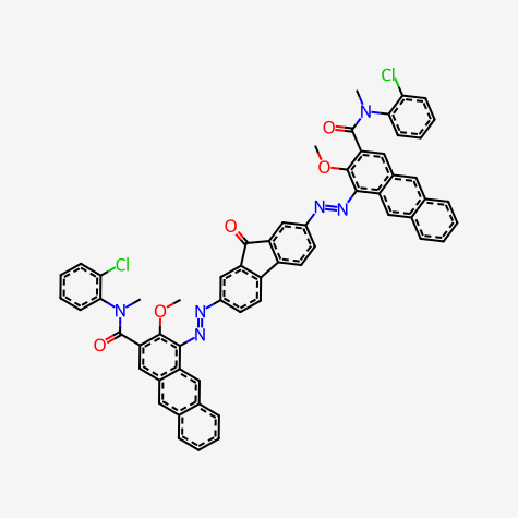 COc1c(C(=O)N(C)c2ccccc2Cl)cc2cc3ccccc3cc2c1N=Nc1ccc2c(c1)C(=O)c1cc(N=Nc3c(OC)c(C(=O)N(C)c4ccccc4Cl)cc4cc5ccccc5cc34)ccc1-2